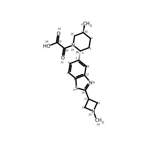 C[C@H]1CC[C@H](c2ccc3sc(C4CN(C)C4)nc3c2)N(C(=O)C(=O)O)C1